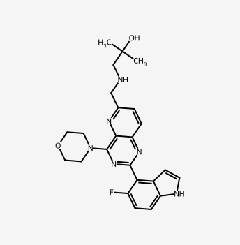 CC(C)(O)CNCc1ccc2nc(-c3c(F)ccc4[nH]ccc34)nc(N3CCOCC3)c2n1